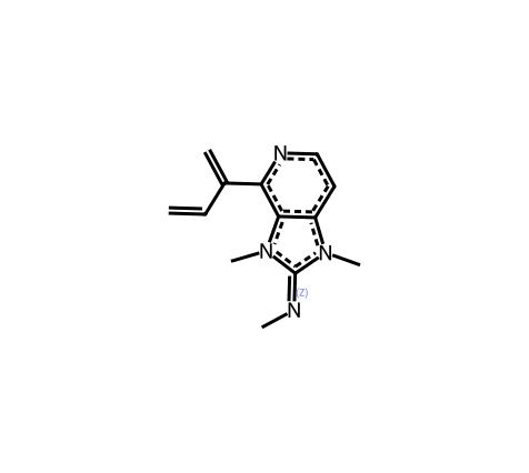 C=CC(=C)c1nccc2c1n(C)/c(=N\C)n2C